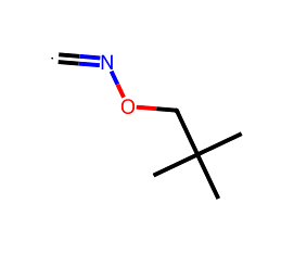 [CH]=NOCC(C)(C)C